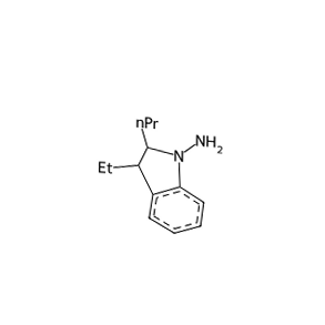 CCCC1C(CC)c2ccccc2N1N